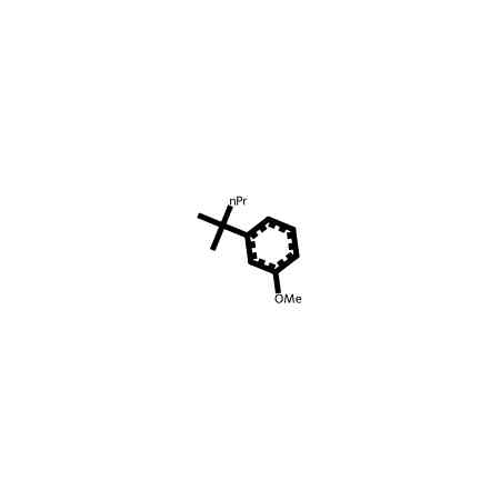 CCCC(C)(C)c1cccc(OC)c1